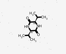 CC(C)[C@H]1NC(=O)[C@@H](C(C)C)NC1=O